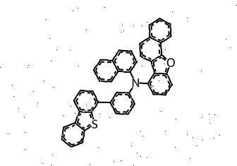 c1cc(-c2cccc3c2sc2ccccc23)cc(N(c2cccc3ccccc23)c2cccc3oc4c5ccccc5ccc4c23)c1